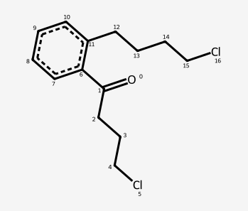 O=C(CCCCl)c1ccccc1CCCCCl